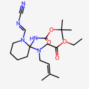 CCOC(=O)CN(CC=C(C)C)C1(NC(=O)OC(C)(C)C)CCCCN1C=NC#N